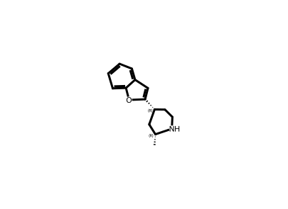 C[C@@H]1C[C@H](c2cc3ccccc3o2)CCN1